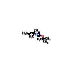 CCCC(C)(C)N1CC(OC(C)(C)C)C1